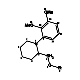 CCO[SiH2]C1CCCCN1c1cccc(OC)c1OC